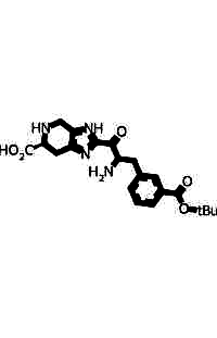 CC(C)(C)OC(=O)c1cccc(CC(N)C(=O)c2nc3c([nH]2)CN[C@H](C(=O)O)C3)c1